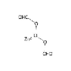 O=[C-]OOO[C-]=O.[Zn+2]